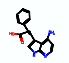 Nc1ccnc2[nH]cc(C=C(C(=O)O)c3ccccc3)c12